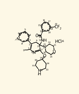 CC1=C(c2cccnc2)CC(NC(=O)c2cccc(C(F)(F)F)c2)(N2CCOCC2)C(OC2CCNCC2)=N1.Cl